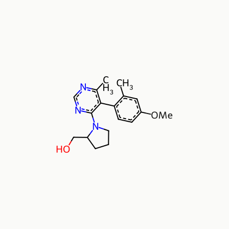 COc1ccc(-c2c(C)ncnc2N2CCCC2CO)c(C)c1